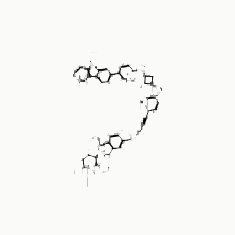 O=C1CCC(N2Cc3cc(COCC#Cc4ccc(O[C@H]5C[C@H](Oc6ccc(-c7ccc8c(c7)[nH]c7ccncc78)cn6)C5)cn4)ccc3C2=O)C(=O)N1